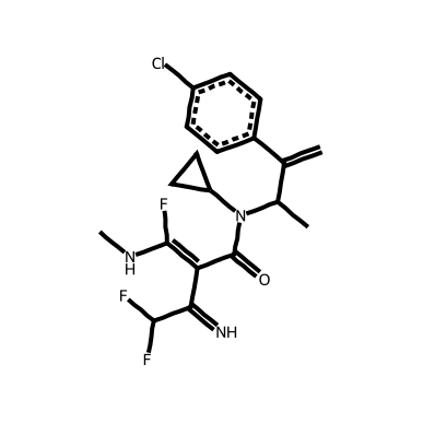 C=C(c1ccc(Cl)cc1)C(C)N(C(=O)/C(C(=N)C(F)F)=C(\F)NC)C1CC1